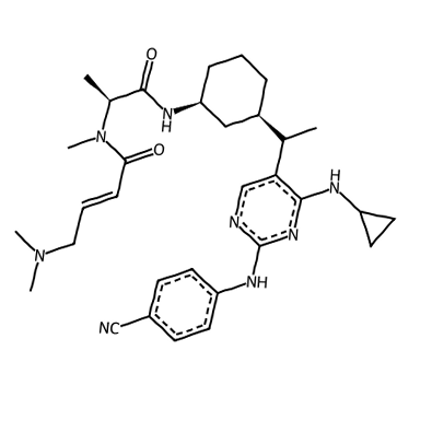 CC(c1cnc(Nc2ccc(C#N)cc2)nc1NC1CC1)[C@@H]1CCC[C@H](NC(=O)[C@H](C)N(C)C(=O)/C=C/CN(C)C)C1